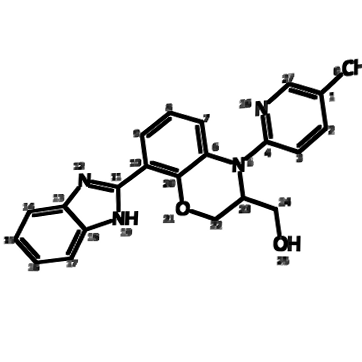 Cc1ccc(N2c3cccc(-c4nc5ccccc5[nH]4)c3OCC2CO)nc1